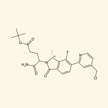 C[C@@H]1c2c(ccc(-c3cc(CCl)ccn3)c2F)C(=O)N1C(CCC(=O)OC(C)(C)C)C(N)=O